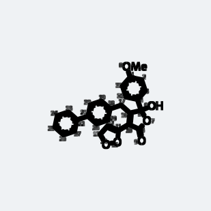 COc1ccc(C2(O)OC(=O)C(C3=CCOO3)=C2Cc2ccc(-c3ccccc3)cc2)cc1